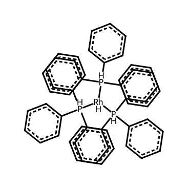 c1ccc([PH](c2ccccc2)(c2ccccc2)[RhH]([PH](c2ccccc2)(c2ccccc2)c2ccccc2)[PH](c2ccccc2)(c2ccccc2)c2ccccc2)cc1